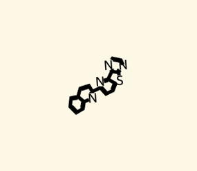 c1ccc2nc(-c3ccc4sc5nccnc5c4n3)ccc2c1